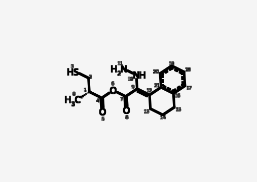 C[C@H](CS)C(=O)OC(=O)C(NN)=C1CCCc2ccccc21